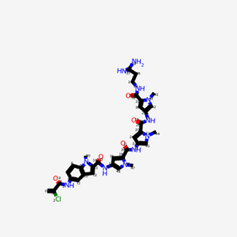 C=C(Cl)C(=O)Nc1ccc2c(c1)cc(C(=O)Nc1cc(C(=O)Nc3cc(C(=O)Nc4cc(C(=O)NCCC(=N)N)n(C)c4)n(C)c3)n(C)c1)n2C